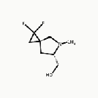 CN1C[C@@]2(C[C@H]1CO)CC2(F)F